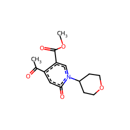 COC(=O)c1cn(C2CCOCC2)c(=O)cc1C(C)=O